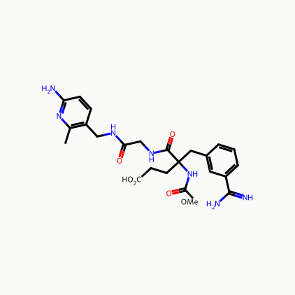 COC(=O)NC(CCC(=O)O)(Cc1cccc(C(=N)N)c1)C(=O)NCC(=O)NCc1ccc(N)nc1C